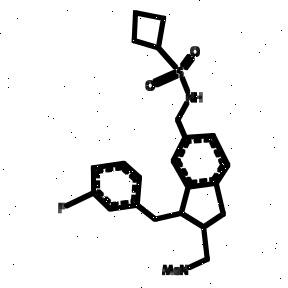 CNCC1Cc2ccc(CNS(=O)(=O)C3CCC3)cc2C1Cc1cccc(F)c1